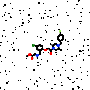 COC(=O)CN(C)Cc1cc(Cl)ccc1OCC(=O)N1C[C@H](C)N(Cc2ccc(F)cc2)C[C@H]1C